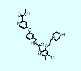 CNC(=O)c1cc(Oc2cccc(CNC(=O)Nc3cc(C)c(Cl)cc3OCCN3CCNCC3)c2)ccn1